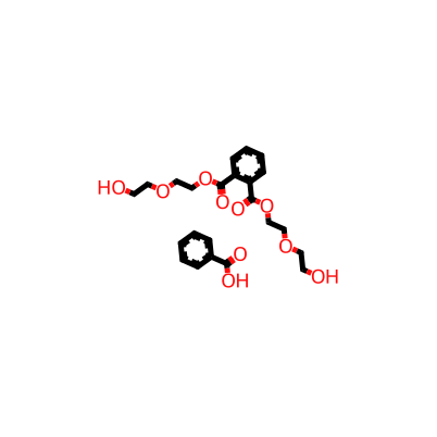 O=C(O)c1ccccc1.O=C(OCCOCCO)c1ccccc1C(=O)OCCOCCO